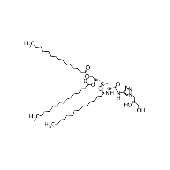 CCCCCCCCCCCCCCC(=O)N[C@H](CSC[C@@H](COC(=O)CCCCCCCCCCCCCC)OC(=O)CCCCCCCCCCCCCC)C(=O)Nc1cn(C[C@@H](O)CO)nn1